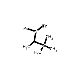 CC(C)N(C(C)C)C(C)[Si](C)(C)C